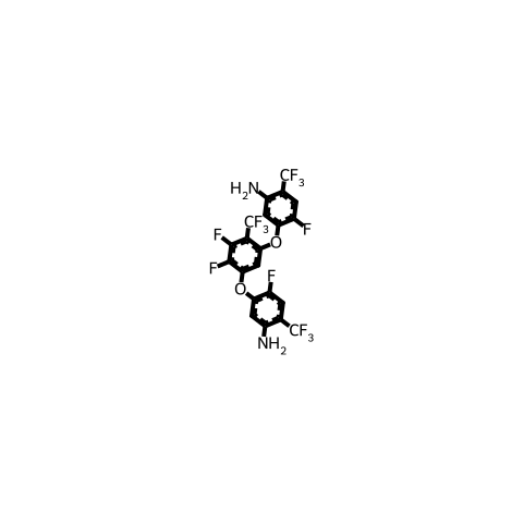 Nc1cc(Oc2cc(Oc3cc(N)c(C(F)(F)F)cc3F)c(C(F)(F)F)c(F)c2F)c(F)cc1C(F)(F)F